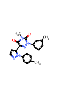 Cc1ccc(-n2nccc2-c2nn(-c3cccc(C)c3)c(=O)n(C)c2=O)cc1